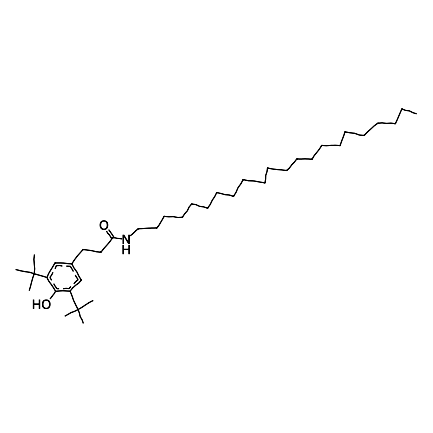 CCCCCCCCCCCCCCCCCCCCCCNC(=O)CCc1cc(C(C)(C)C)c(O)c(C(C)(C)C)c1